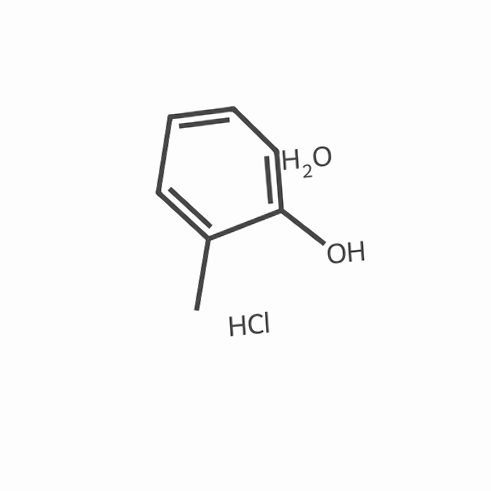 Cc1ccccc1O.Cl.O